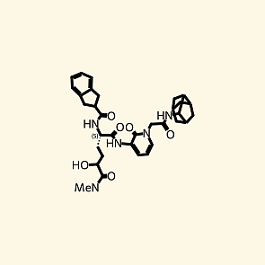 CNC(=O)C(O)CC[C@H](NC(=O)C1Cc2ccccc2C1)C(=O)Nc1cccn(CC(=O)NC2C3CC4CC(C3)C2C4)c1=O